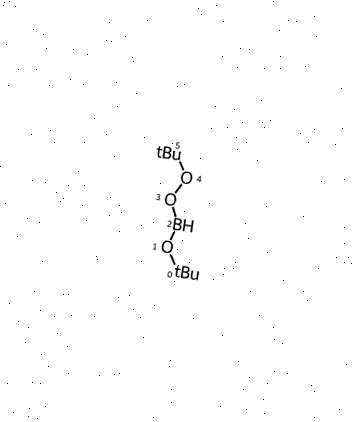 CC(C)(C)OBOOC(C)(C)C